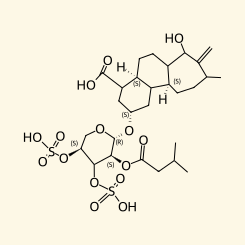 C=C1C(C)CC[C@@H]2C(CC[C@@H]3C(C(=O)O)C[C@@H](O[C@H]4OC[C@H](OS(=O)(=O)O)C(OS(=O)(=O)O)[C@@H]4OC(=O)CC(C)C)CC32)C1O